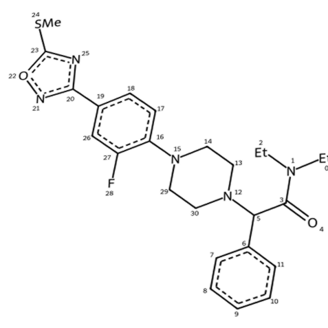 CCN(CC)C(=O)C(c1ccccc1)N1CCN(c2ccc(-c3noc(SC)n3)cc2F)CC1